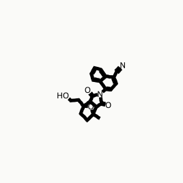 CC12CCC(CCO)(O1)C1C(=O)N(c3ccc(C#N)c4ccccc34)C(=O)C12